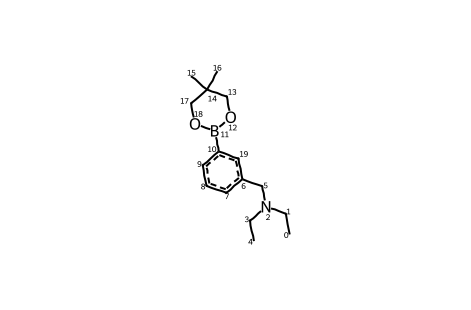 CCN(CC)Cc1cccc(B2OCC(C)(C)CO2)c1